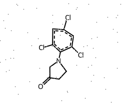 O=C1CCN(c2c(Cl)cc(Cl)cc2Cl)C1